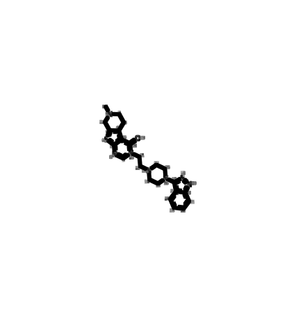 CN1CCc2c(sc3ncn(CCN4CCN(c5snc6ccccc56)CC4)c(=O)c23)C1